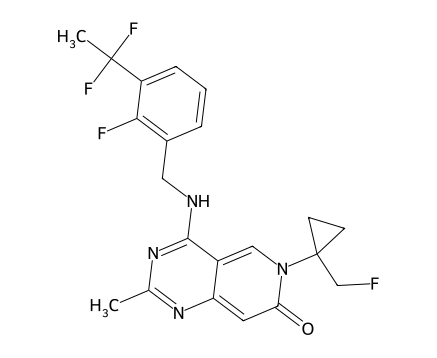 Cc1nc(NCc2cccc(C(C)(F)F)c2F)c2cn(C3(CF)CC3)c(=O)cc2n1